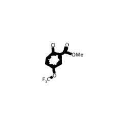 COC(=O)c1cc(OC(F)(F)F)ccc1Cl